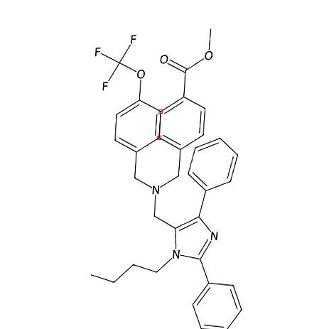 CCCCn1c(-c2ccccc2)nc(-c2ccccc2)c1CN(Cc1ccc(OC(F)(F)F)cc1)Cc1ccc(C(=O)OC)cc1